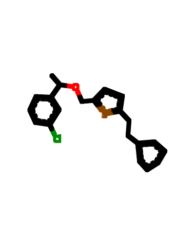 CC(OCc1ccc(CCc2ccccc2)s1)c1cccc(Cl)c1